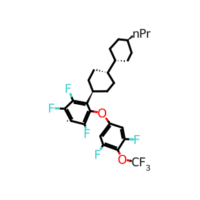 CCC[C@H]1CC[C@H]([C@H]2CC[C@H](c3c(F)c(F)[c]c(F)c3Oc3cc(F)c(OC(F)(F)F)c(F)c3)CC2)CC1